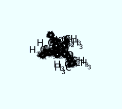 C=C1C=C(c2ccccc2)N(C)c2cc3c(cc21)Bc1c(-c2cc4c(cc2Nc2ccc(C(C)(C)C)cc2)oc2cc5c(cc24)C(C)(C)CCC5(C)C)ccc2c4cc5c(cc4n-3c12)C(C)(C)c1ccccc1-5